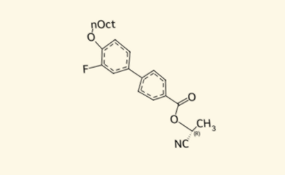 CCCCCCCCOc1ccc(-c2ccc(C(=O)O[C@H](C)C#N)cc2)cc1F